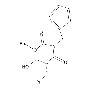 CC(C)C[C@H](CO)C(=O)N(Cc1ccccc1)C(=O)OC(C)(C)C